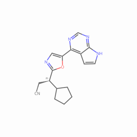 N#CC[C@@H](c1ncc(-c2ncnc3[nH]ccc23)o1)C1CCCC1